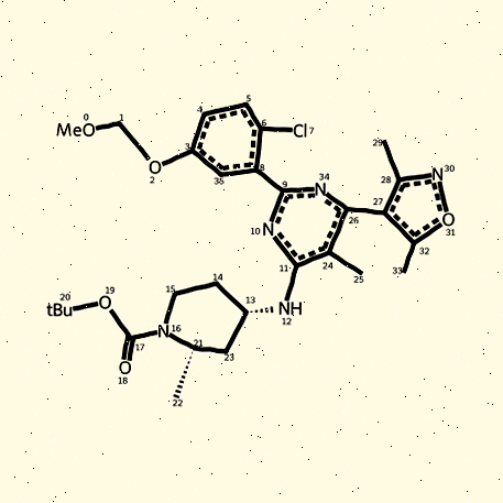 COCOc1ccc(Cl)c(-c2nc(N[C@H]3CCN(C(=O)OC(C)(C)C)[C@@H](C)C3)c(C)c(-c3c(C)noc3C)n2)c1